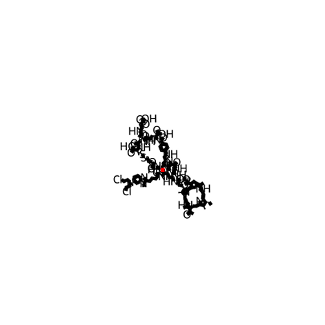 CC[C@H]1/C2=C/c3[nH]c4c(c3C)CC(C(=O)OC)/C4=C3N=C(/C=C4\NC(CC(=N2)[C@@H]1C)C(C(C)=O)=C4C)[C@@H](C)[C@@H]/3CCC(=O)NCCCC(NC(=O)CCCc1nc2ccc(N(CCCl)CCCl)cc2n1C)C(=O)NNC(=O)OCCSSC[C@H](NC(=O)[C@H](CC(=O)NCCS(=O)(=O)O)NC(=O)CC[C@H](NC(=O)c1ccc(NCc2cnc3nc(N)[nH]c(=O)c3n2)cc1)C(=O)O)C(=O)O